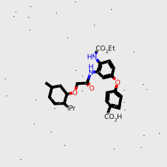 CCOC(=O)Nc1ccc(Oc2ccc(C(=O)O)cc2)cc1NC(=O)COC1CC(C)CCC1C(C)C